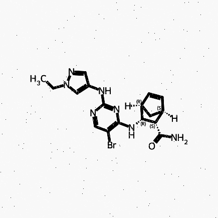 CCn1cc(Nc2ncc(Br)c(N[C@H]3[C@@H](C(N)=O)[C@@H]4C=C[C@H]3C4)n2)cn1